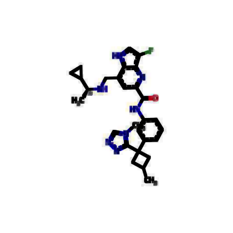 CC1CC(c2cccc(NC(=O)c3cc(CN[C@@H](C)C4CC4)c4[nH]cc(F)c4n3)c2)(c2nncn2C)C1